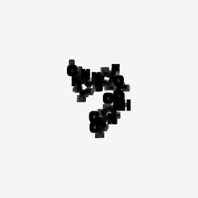 COc1cnc2c(-c3nc4cc(F)c(O[C@@H](C)COC(=O)Nc5ccc(N6CCOC6=O)nc5)cc4s3)cc(C)cc2n1